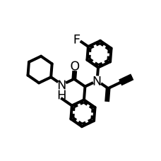 C#CC(=C)N(c1cccc(F)c1)C(C(=O)NC1CCCCC1)c1ccccc1C